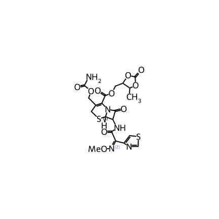 CO/N=C(\C(=O)NC1C(=O)N2C(C(=O)OCC3OC(=O)OC3C)=C(COC(N)=O)CS[C@@H]12)c1cscn1